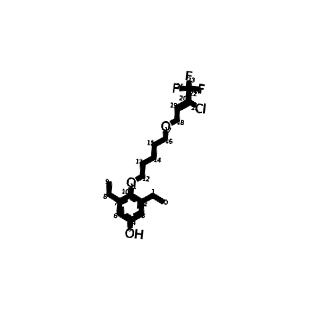 CCc1cc(O)cc(CC)c1OCCCCCOCC=C(Cl)C(F)(F)F